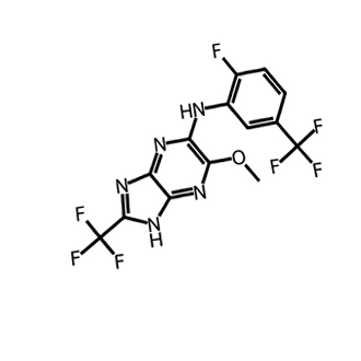 COc1nc2[nH]c(C(F)(F)F)nc2nc1Nc1cc(C(F)(F)F)ccc1F